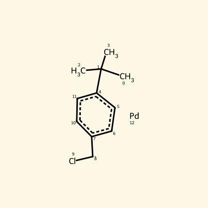 CC(C)(C)c1ccc([CH]Cl)cc1.[Pd]